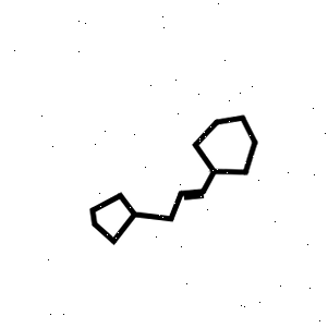 C(=C[C]1CCCCC1)CC1CCCC1